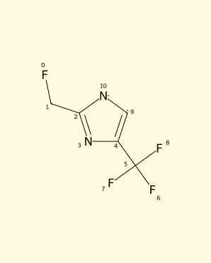 FCC1=NC(C(F)(F)F)=[C][N]1